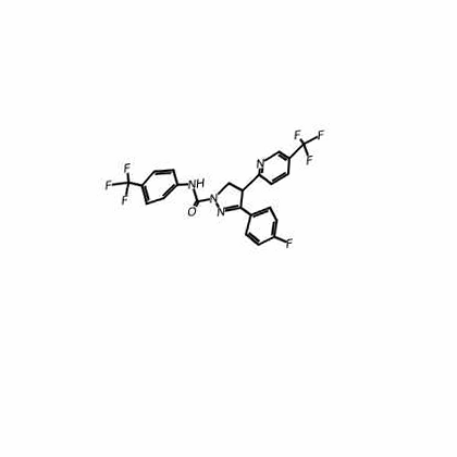 O=C(Nc1ccc(C(F)(F)F)cc1)N1CC(c2ccc(C(F)(F)F)cn2)C(c2ccc(F)cc2)=N1